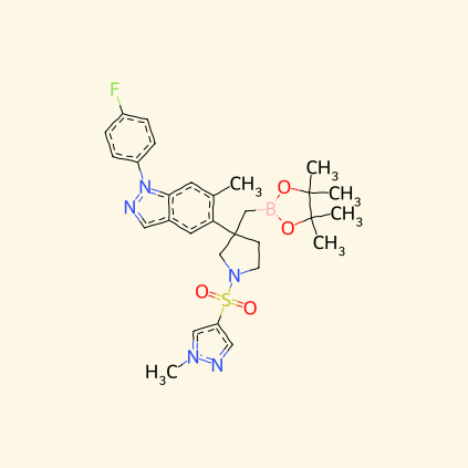 Cc1cc2c(cnn2-c2ccc(F)cc2)cc1C1(CB2OC(C)(C)C(C)(C)O2)CCN(S(=O)(=O)c2cnn(C)c2)C1